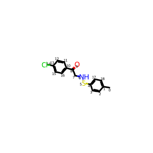 Cc1ccc(SNCC(=O)c2ccc(Cl)cc2)cc1